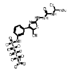 CCCCC(CC)NC(=O)NNc1nc(-c2cccc(NS(=O)(=O)S(=O)(=O)S(=O)(=O)S(=O)(=O)[SH](=O)=O)c2)c(C#N)s1